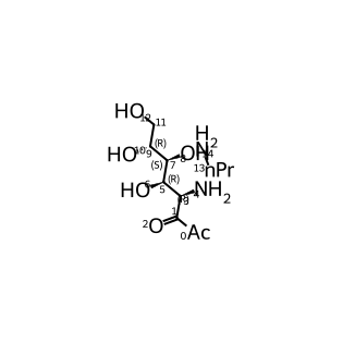 CC(=O)C(=O)[C@H](N)[C@@H](O)[C@H](O)[C@H](O)CO.CCCN